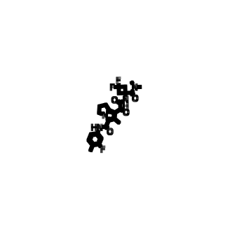 Cc1ccc(NC(=O)c2c(C)c(C(=O)C(=O)NC3(C(=O)N(C)C)CC(F)(F)C3)c3n2CCC3)cc1F